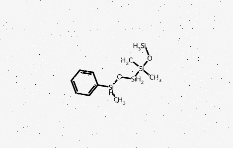 C[SiH](O[SiH2][Si](C)(C)O[SiH3])c1ccccc1